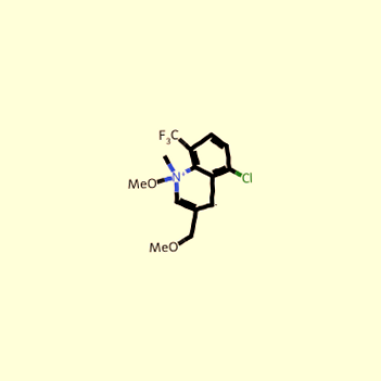 COCC1=C[N+](C)(OC)c2c(C(F)(F)F)ccc(Cl)c2[CH]1